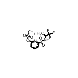 CC(NS(=O)(=O)c1cccc(OS(C)(=O)=O)n1)C(F)(F)F